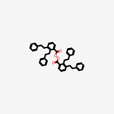 O=C(OOC(=O)c1cccc(CCc2ccccc2)c1CCc1ccccc1)c1cccc(CCc2ccccc2)c1CCc1ccccc1